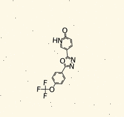 O=c1ccc(-c2nnc(-c3ccc(OC(F)(F)F)cc3)o2)c[nH]1